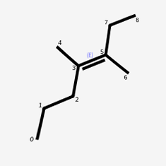 CCC/C(C)=C(\C)CC